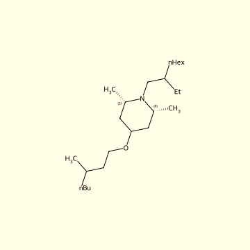 CCCCCCC(CC)CN1[C@H](C)CC(OCCC(C)CCCC)C[C@@H]1C